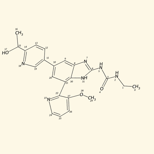 CCNC(=O)Nc1nc2cc(-c3ccc(C(C)O)nc3)cc(-c3ncccc3OC)c2[nH]1